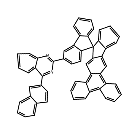 c1ccc2c(c1)-c1cc(-c3nc(-c4ccc5ccccc5c4)c4ccccc4n3)ccc1C21c2ccccc2-c2cc3c4ccccc4c4ccccc4c3cc21